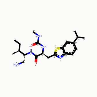 CC[C@H](C)[C@@H](CN)NC(=O)[C@H](Cc1nc2ccc(C(C)C)cc2s1)NC(=O)NC